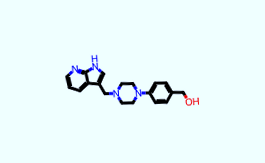 OCc1ccc(N2CCN(Cc3c[nH]c4ncccc34)CC2)cc1